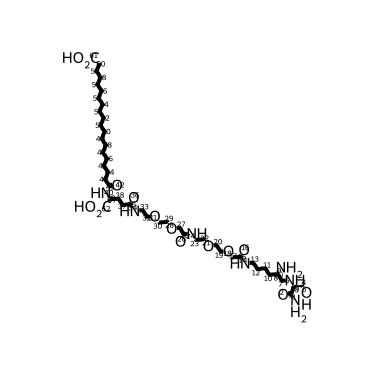 NC(=O)[C@H](CO)NC[C@@H](N)CCCCNC(=O)COCCOCCNC(=O)COCCOCCNC(=O)CC[C@H](NC(=O)CCCCCCCCCCCCCCCCCCC(=O)O)C(=O)O